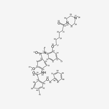 COc1cc(C(=O)N(C)c2ccc(C)cc2OCCCCCC(=O)N2CCN(C)CC2)ccc1NC(=O)c1ccc(C)cc1OCc1ccccc1